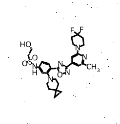 Cc1cc(-c2noc(-c3ccc(NS(=O)(=O)CCO)cc3N3CCC4(CC3)CC4)n2)cc(N2CCC(F)(F)CC2)n1